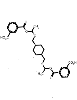 CC(OCC1CCC(COC(C)OC(=O)c2cccc(C(=O)O)c2)CC1)OC(=O)c1cccc(C(=O)O)c1